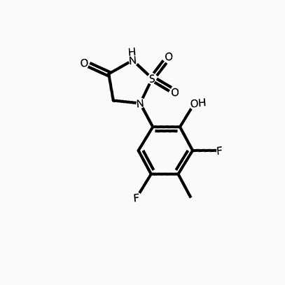 Cc1c(F)cc(N2CC(=O)NS2(=O)=O)c(O)c1F